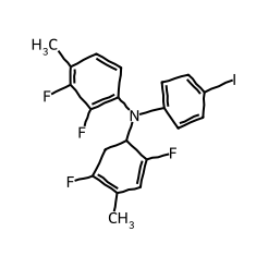 CC1=C(F)CC(N(c2ccc(I)cc2)c2ccc(C)c(F)c2F)C(F)=C1